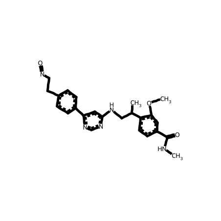 CNC(=O)c1ccc(C(C)CNc2cc(-c3ccc(CCN=O)cc3)ncn2)c(OC)c1